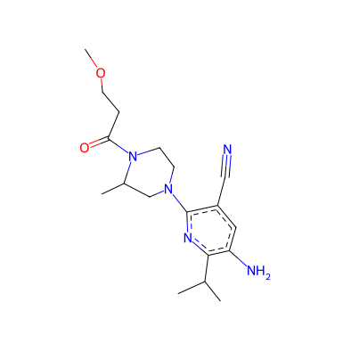 COCCC(=O)N1CCN(c2nc(C(C)C)c(N)cc2C#N)CC1C